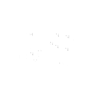 Cc1ccc(S(=O)(=O)N(C)C2CC(O)C2)cc1-c1cnc2c(N)ncnn12